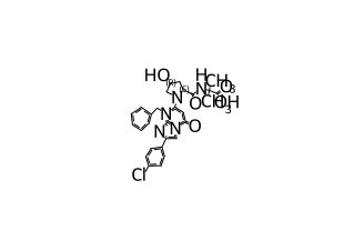 CC(C)(NC(=O)[C@@H]1C[C@@H](O)CN1c1cc(=O)n2cc(-c3ccc(Cl)cc3)nc2n1Cc1ccccc1)C(=O)O